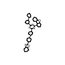 c1ccc(-c2cccc(-c3nc(-c4ccc(-c5ccc(-c6nc7ccccc7o6)cc5)cc4)nc(-c4cccc5oc6ccccc6c45)n3)c2)cc1